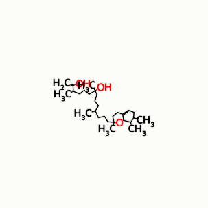 C=C(O)C(C)CCCC(C)(O)CCCC(C)CCCC1(C)CCC2=CCC(C)C(C)C2O1